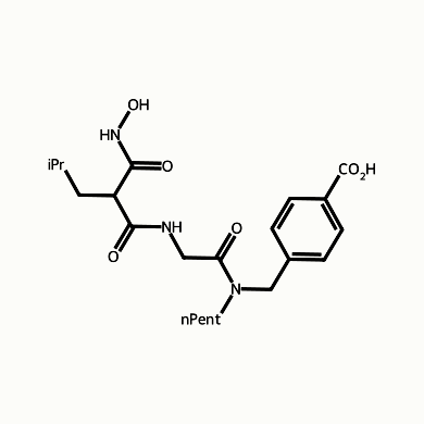 CCCCCN(Cc1ccc(C(=O)O)cc1)C(=O)CNC(=O)C(CC(C)C)C(=O)NO